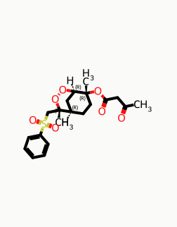 CC(=O)CC(=O)O[C@]1(C)CC[C@@H]2C[C@H]1OO[C@@]2(C)CS(=O)(=O)c1ccccc1